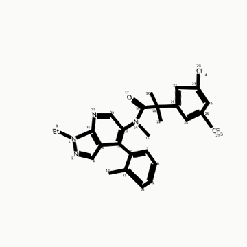 CCn1ncc2c(-c3ccccc3C)c(N(C)C(=O)C(C)(C)c3cc(C(F)(F)F)cc(C(F)(F)F)c3)cnc21